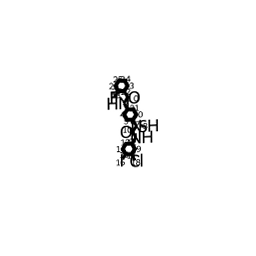 O=C(Nc1ccc(N(S)C(=O)Nc2ccc(I)c(Cl)c2)cc1)c1ccccc1F